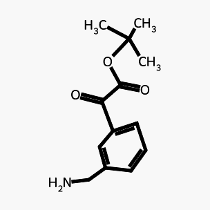 CC(C)(C)OC(=O)C(=O)c1cccc(CN)c1